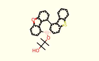 CC(C)(O)C(C)(C)OBc1cccc2oc3cccc(-c4cccc5sc6ccccc6c45)c3c12